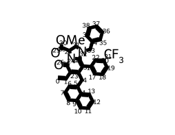 C=Cc1c(Cc2cccc3ccccc23)c(-c2cccc(C(F)(F)F)c2)c2n(c1=O)C(C(=O)OC)CN2Cc1ccccc1